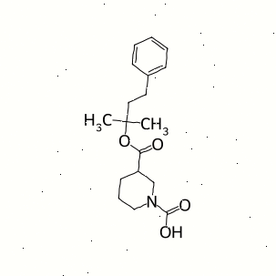 CC(C)(CCc1ccccc1)OC(=O)C1CCCN(C(=O)O)C1